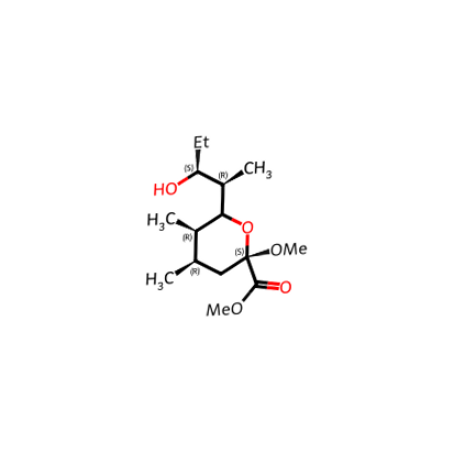 CC[C@H](O)[C@@H](C)C1O[C@](OC)(C(=O)OC)C[C@@H](C)[C@H]1C